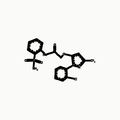 NS(=O)(=O)c1ccccc1NC(=O)COc1cc(C(F)(F)F)nn1-c1ccccc1Cl